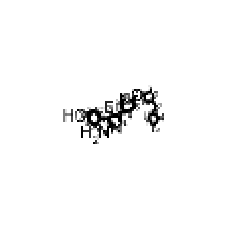 CCc1c(-c2ccc(OC3CCC(CC4CCCC4)C3)nc2)cnc(N)c1-c1ccc(O)cc1